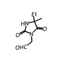 CCC1(C)NC(=O)N(CC=O)C1=O